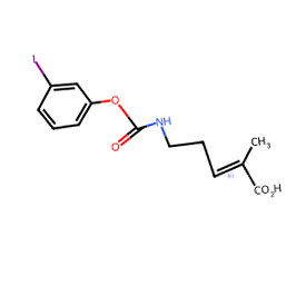 C/C(=C\CCNC(=O)Oc1cccc(I)c1)C(=O)O